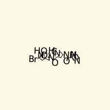 O=C(NC1CC(C(=O)NCC2CC(Br)=NO2)N(C(=O)O)C1)c1cnccn1